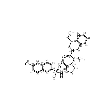 C[C@@H](C(=O)N(CCCO)Cc1cccnc1)N1CC[C@H](NS(=O)(=O)c2ccc3cc(Cl)ccc3c2)C1=O